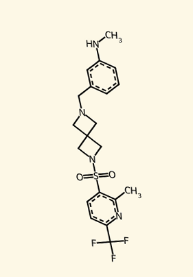 CNc1cccc(CN2CC3(C2)CN(S(=O)(=O)c2ccc(C(F)(F)F)nc2C)C3)c1